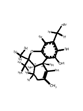 [2H]C1=C(C)CC([2H])([2H])[C@@]2([2H])C(C([2H])([2H])[2H])(C([2H])([2H])[2H])Oc3c([2H])c(C([2H])([2H])CCCC)c([2H])c(O)c3[C@]12[2H]